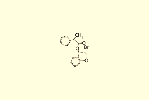 C[C@@H](C(=O)O[C@@H]1c2ccccc2OC[C@H]1Br)c1ccccc1